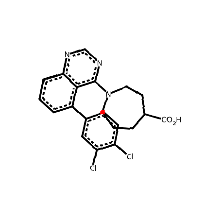 O=C(O)C1CCCN(c2ncnc3cccc(-c4ccc(Cl)c(Cl)c4)c23)CC1